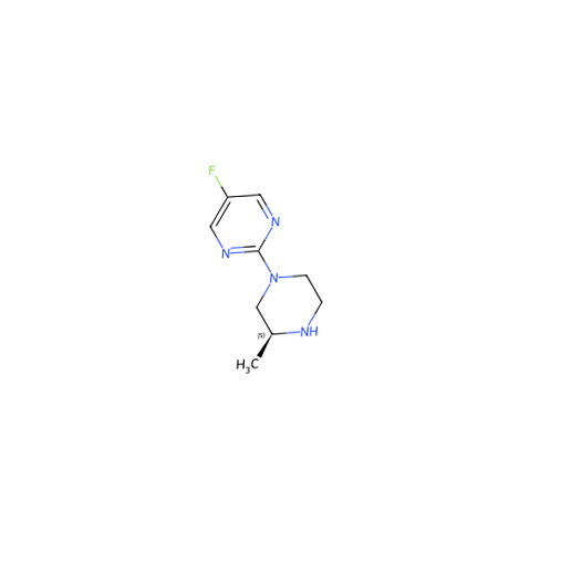 C[C@H]1CN(c2ncc(F)cn2)CCN1